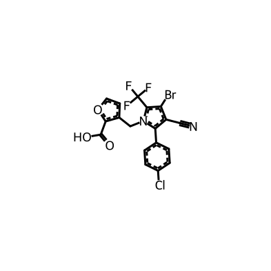 N#Cc1c(Br)c(C(F)(F)F)n(Cc2ccoc2C(=O)O)c1-c1ccc(Cl)cc1